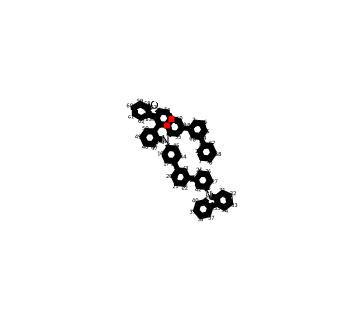 c1ccc(-c2cccc(-c3cccc(N(c4ccc(-c5cccc(-c6cccc(-n7c8ccccc8c8ccccc87)c6)c5)cc4)c4ccccc4-c4cccc5oc6ccccc6c45)c3)c2)cc1